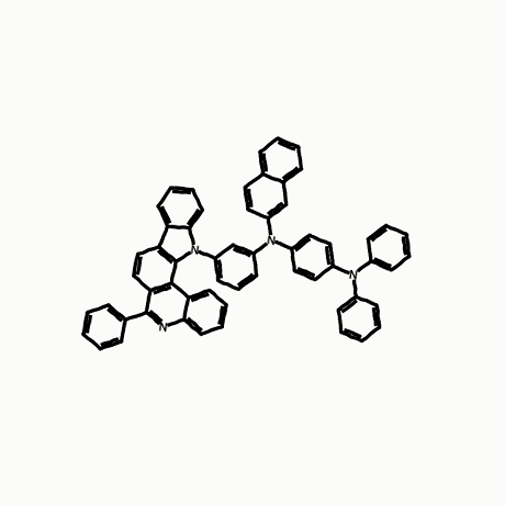 c1ccc(-c2nc3ccccc3c3c2ccc2c4ccccc4n(-c4cccc(N(c5ccc(N(c6ccccc6)c6ccccc6)cc5)c5ccc6ccccc6c5)c4)c23)cc1